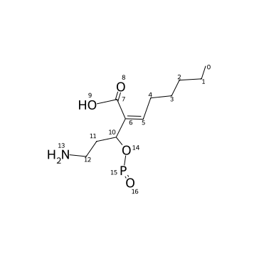 CCCCCC=C(C(=O)O)C(CCN)OP=O